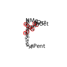 CCCCC/C=C\C/C=C\CCCCCCCC(=O)OCC(COC(=O)CCNC)COC(=O)CCC(OCCCCCCCC)OCCCCCCCC